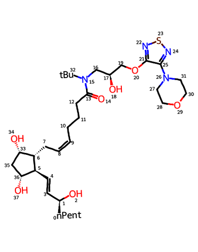 CCCCC[C@H](O)/C=C/[C@@H]1[C@@H](C/C=C\CCCC(=O)N(C[C@H](O)COc2nsnc2N2CCOCC2)C(C)(C)C)[C@@H](O)C[C@H]1O